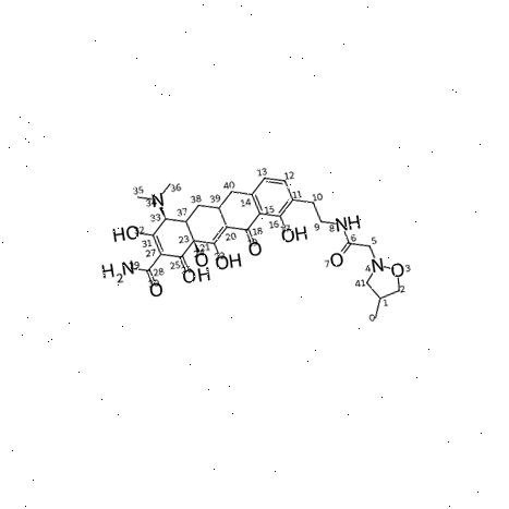 CC1CON(CC(=O)NCCc2ccc3c(c2O)C(=O)C2=C(O)[C@]4(O)C(=O)C(C(N)=O)=C(O)[C@@H](N(C)C)C4CC2C3)C1